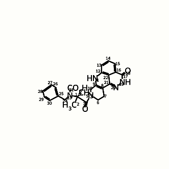 CC(C)(C(=O)N1CCC2=C(C1)Nc1cccc3c(=O)[nH]nc2c13)N(Cc1ccccc1)C(=O)O